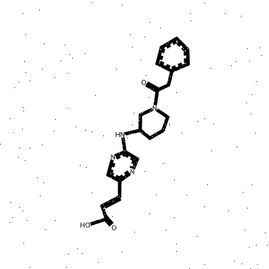 O=C(O)/C=C/c1cnc(NC2CCCN(C(=O)Cc3ccccc3)C2)cn1